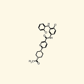 CC(=O)N1CCN(c2ccc(C(=O)Nc3ccc(Cl)c(Nc4ccccc4Cl)c3)cn2)CC1